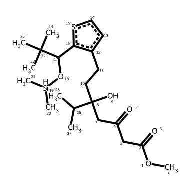 COC(=O)CC(=O)CC(O)(CCc1ccsc1C(O[SiH](C)C)C(C)(C)C)C(C)C